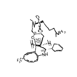 CN(C[C@H]1CC[C@@H]2[C@H](O1)c1cc(C(F)(F)F)ccc1N[C@H]2C1C=CC=CC1)S(=O)(=O)CCCN